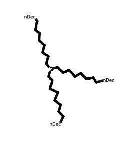 CCCCCCCCCCCCCCCCCC[Si](CCCCCCCCCCCCCCCCCC)CCCCCCCCCCCCCCCCCC